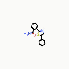 NC(=O)c1ccccc1-c1ncc(-c2ccccc2)s1